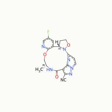 C[C@@H]1COc2ncc(F)cc2[C@@H]2CCON2c2ccn3nc(C#N)c(c3n2)C(=O)N1